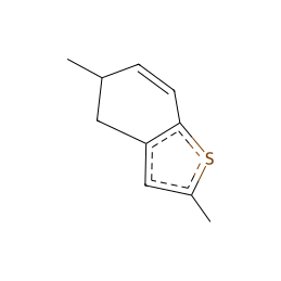 Cc1cc2c(s1)C=CC(C)C2